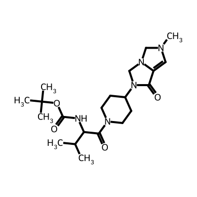 CC(C)C(NC(=O)OC(C)(C)C)C(=O)N1CCC(N2CN3CN(C)C=C3C2=O)CC1